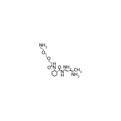 C/C(N)=C/C=C(\N)NC(=O)c1ccccc1NC(=O)CCOCCOCCN